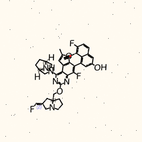 C#Cc1c(F)ccc2cc(O)cc(-c3c(F)c4nc(OC[C@@]56CCCN5C/C(=C\F)C6)nc(N5C[C@H]6CC[C@@H](C5)N6)c4c4cc(C)oc34)c12